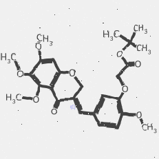 COc1ccc(/C=C2\COc3cc(OC)c(OC)c(OC)c3C2=O)cc1OCC(=O)OC(C)(C)C